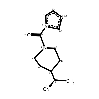 C[C@@H](N=O)C1CCN(C(=O)n2ccnc2)CC1